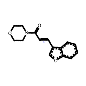 O=C(/C=C/c1coc2ccccc12)N1CCOCC1